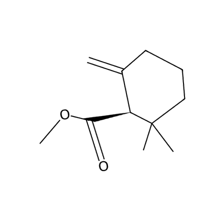 C=C1CCCC(C)(C)[C@H]1C(=O)OC